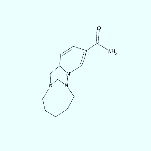 NC(=O)C1=CN2C(C=C1)CN1CCCCCN2C1